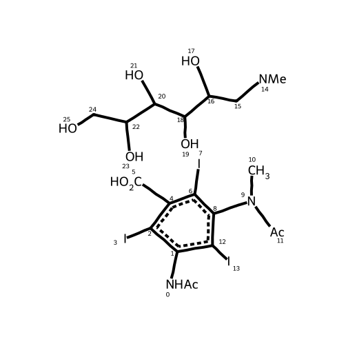 CC(=O)Nc1c(I)c(C(=O)O)c(I)c(N(C)C(C)=O)c1I.CNCC(O)C(O)C(O)C(O)CO